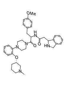 COc1ccc(CC(NC(=O)CC2NCc3ccccc32)C(=O)N2CCN(c3ccccc3O[C@H]3CCCN(C)C3)CC2)cc1